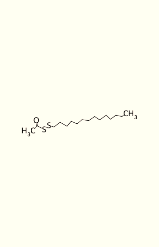 CCCCCCCCCCCCCCSSC(C)=O